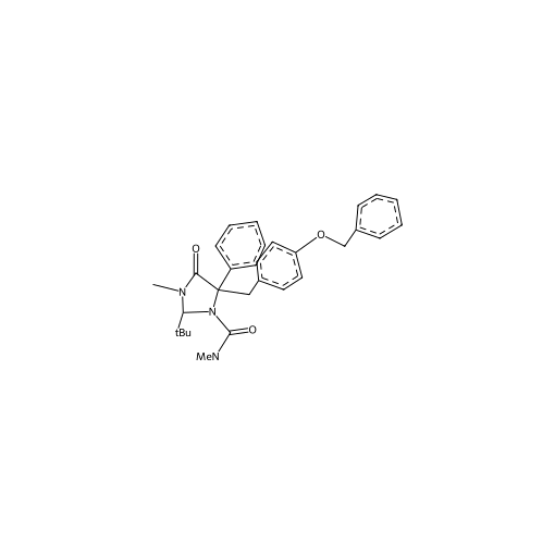 CNC(=O)N1C(C(C)(C)C)N(C)C(=O)C1(Cc1ccc(OCc2ccccc2)cc1)c1ccccc1